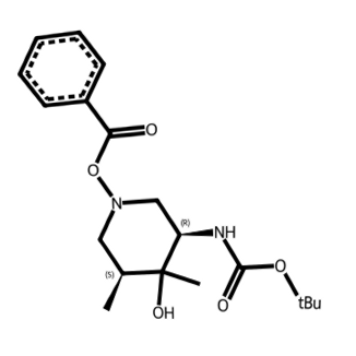 C[C@H]1CN(OC(=O)c2ccccc2)C[C@@H](NC(=O)OC(C)(C)C)C1(C)O